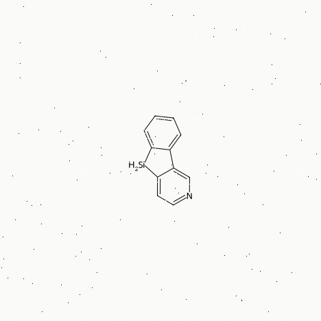 c1ccc2c(c1)[SiH2]c1ccncc1-2